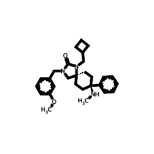 CN[C@]1(c2ccccc2)CC[C@]2(CC1)CN(Cc1cccc(OC)c1)C(=O)N2CC1CCC1